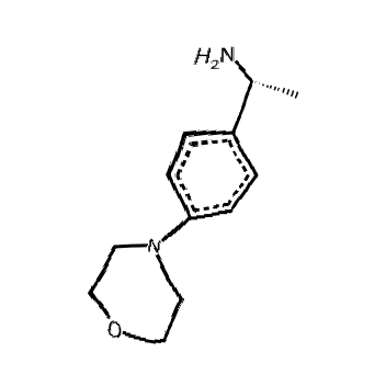 C[C@@H](N)c1ccc(N2CCOCC2)cc1